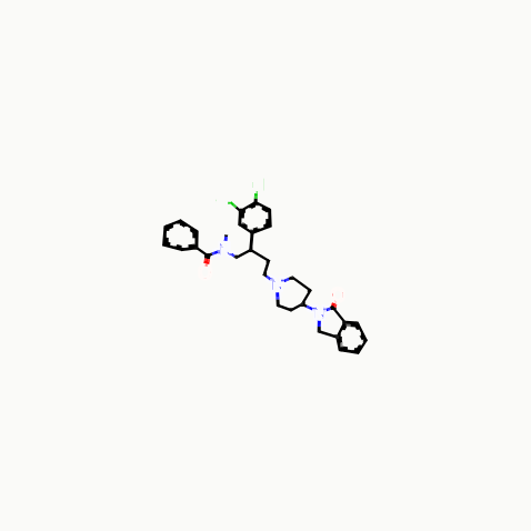 CN(CC(CCN1CCC(N2Cc3ccccc3C2=O)CC1)c1ccc(Cl)c(Cl)c1)C(=O)c1ccccc1